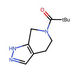 CC(C)(C)C(=O)N1CCc2cn[nH]c2C1